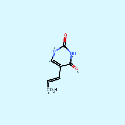 O=C(O)/C=C/c1c[nH]c(=O)[nH]c1=O